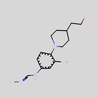 Cc1cc(N/C=N/O)ccc1N1CCC(CCO)CC1